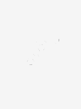 CC(=O)N1CCC2c3cc(C(=O)Nc4ccc(OC(F)(F)Cl)cc4)cc(Br)c3N(C(C)C)C2C1